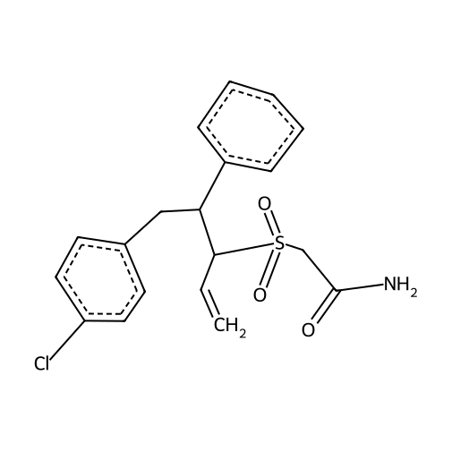 C=CC(C(Cc1ccc(Cl)cc1)c1ccccc1)S(=O)(=O)CC(N)=O